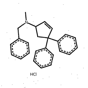 CN(Cc1ccccc1)C1C=CC(c2ccccc2)(c2ccccc2)C1.Cl